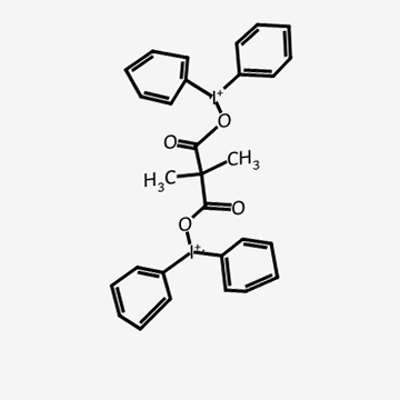 CC(C)(C(=O)O[I+](c1ccccc1)c1ccccc1)C(=O)O[I+](c1ccccc1)c1ccccc1